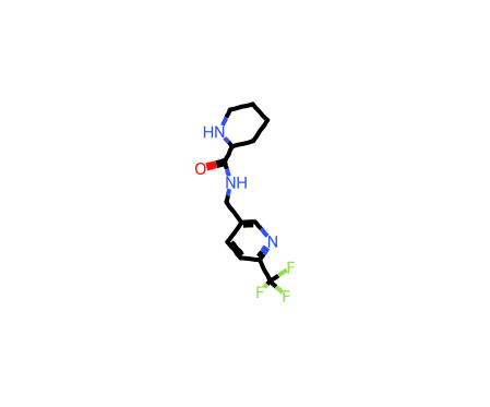 O=C(NCc1ccc(C(F)(F)F)nc1)C1CCCCN1